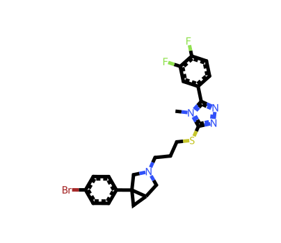 Cn1c(SCCCN2CC3CC3(c3ccc(Br)cc3)C2)nnc1-c1ccc(F)c(F)c1